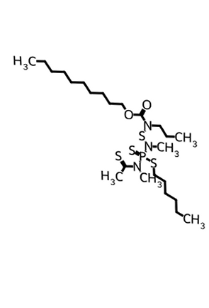 CCCCCCCCCCOC(=O)N(CCC)SN(C)P(=S)(SCCCCCC)N(C)C(C)=S